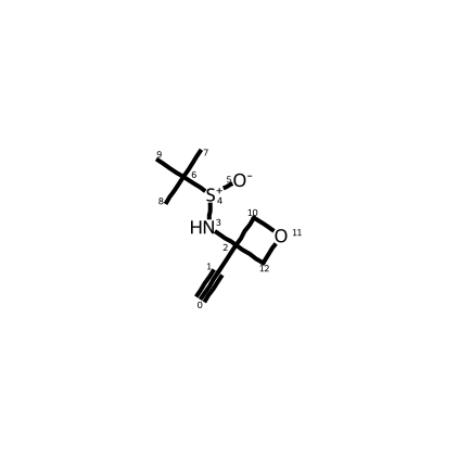 C#CC1(N[S+]([O-])C(C)(C)C)COC1